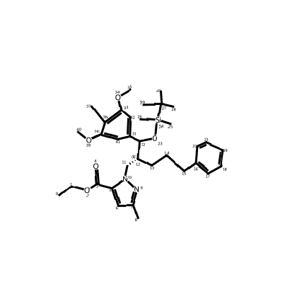 CCOC(=O)c1cc(C)nn1C[C@@H](CCCc1ccccc1)C(O[Si](C)(C)C(C)(C)C)c1cc(OC)c(C)c(OC)c1